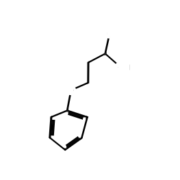 OC(O)CCOc1ccccc1